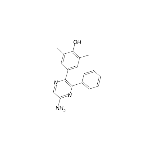 Cc1cc(-c2ncc(N)nc2-c2ccccc2)cc(C)c1O